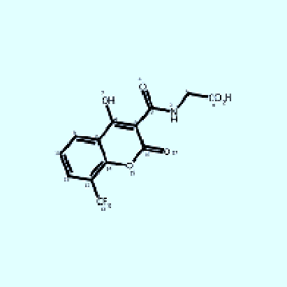 O=C(O)CNC(=O)c1c(O)c2cccc(C(F)(F)F)c2oc1=O